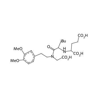 CCC(C)C(NC(CCC(=O)O)C(=O)O)C(=O)N(CCc1ccc(OC)c(OC)c1)CC(=O)O